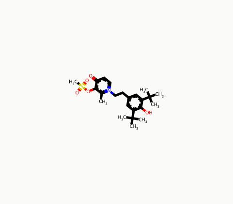 Cc1c(OS(C)(=O)=O)c(=O)ccn1CCc1cc(C(C)(C)C)c(O)c(C(C)(C)C)c1